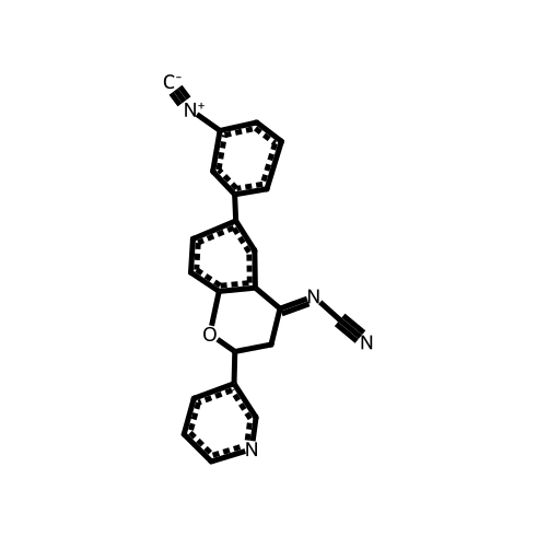 [C-]#[N+]c1cccc(-c2ccc3c(c2)/C(=N/C#N)CC(c2cccnc2)O3)c1